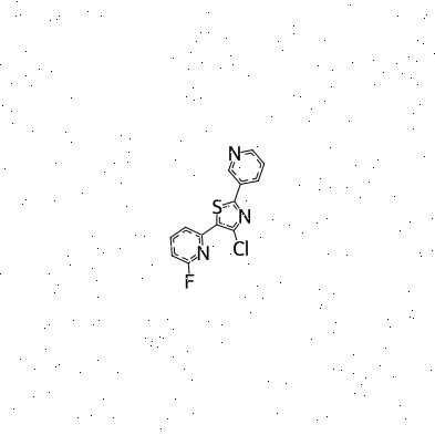 Fc1cccc(-c2sc(-c3cccnc3)nc2Cl)n1